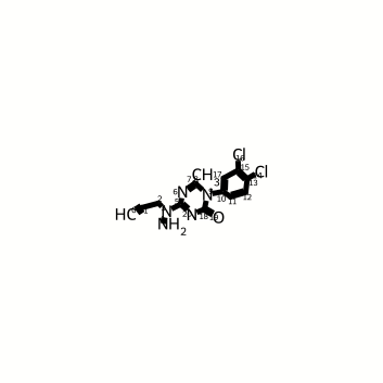 C#CCN(N)c1nc(C)n(-c2ccc(Cl)c(Cl)c2)c(=O)n1